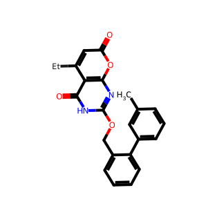 CCc1cc(=O)oc2nc(OCc3ccccc3-c3cccc(C)c3)[nH]c(=O)c12